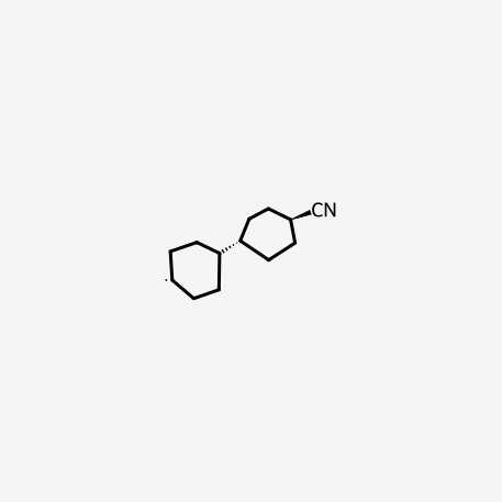 N#C[C@H]1CC[C@H](C2CC[CH]CC2)CC1